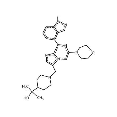 CC(C)(O)C1CCN(Cc2cnc3c(-c4cccc5[nH]ncc45)nc(N4CCOCC4)cn23)CC1